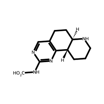 O=C(O)Nc1ncc2c(n1)[C@H]1CCCN[C@@H]1CC2